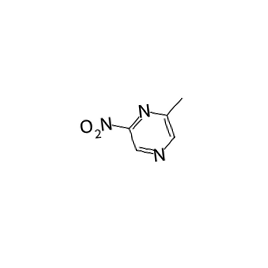 Cc1cncc([N+](=O)[O-])n1